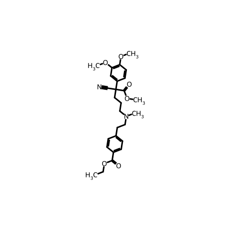 CCOC(=O)c1ccc(CCN(C)CCCC(C#N)(C(=O)OC)c2ccc(OC)c(OC)c2)cc1